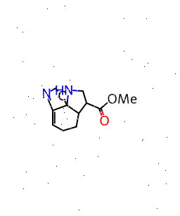 COC(=O)C1CNC23CCN=CC2=CCCC13